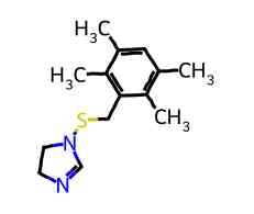 Cc1cc(C)c(C)c(CSN2C=NCC2)c1C